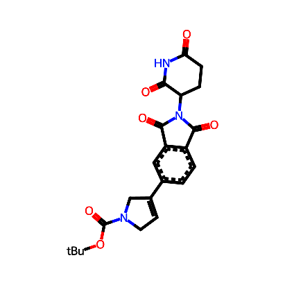 CC(C)(C)OC(=O)N1CC=C(c2ccc3c(c2)C(=O)N(C2CCC(=O)NC2=O)C3=O)C1